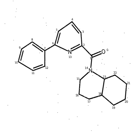 O=C(c1cccc(-c2ccccc2)n1)N1CCCC2CCCCC21